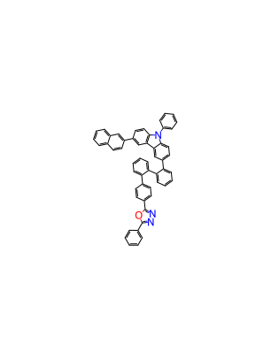 c1ccc(-c2nnc(-c3ccc(-c4ccccc4-c4ccccc4-c4ccc5c(c4)c4cc(-c6ccc7ccccc7c6)ccc4n5-c4ccccc4)cc3)o2)cc1